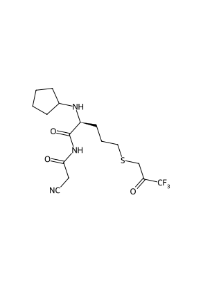 N#CCC(=O)NC(=O)[C@H](CCCSCC(=O)C(F)(F)F)NC1CCCC1